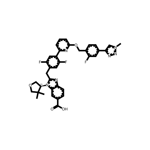 Cn1cc(-c2ccc(COc3cccc(-c4cc(F)c(Cc5nc6ccc(C(=O)O)cc6n5[C@@H]5COCC5(C)C)cc4F)n3)c(F)c2)nn1